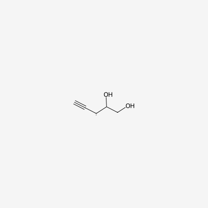 C#C[CH]C(O)CO